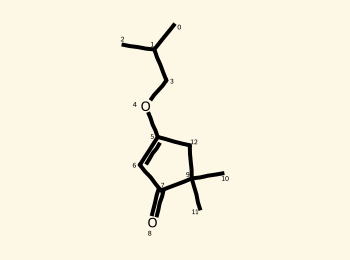 CC(C)COC1=CC(=O)C(C)(C)C1